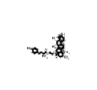 C[C@H]1[C@H](C)CC[C@]2(C(=O)OCCOC(=O)[C@@H](N)CCc3ccc(O)cc3)CC[C@]3(C)C(=CC[C@@H]4[C@@]5(C)CC[C@H](O)C(C)(C)C5CC[C@]43C)[C@H]12